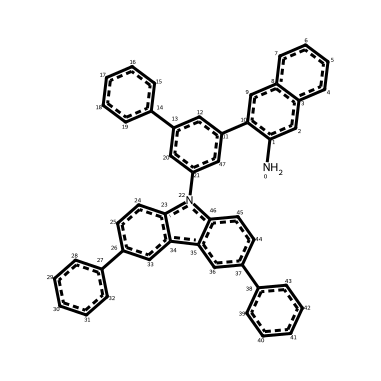 Nc1cc2ccccc2cc1-c1cc(-c2ccccc2)cc(-n2c3ccc(-c4ccccc4)cc3c3cc(-c4ccccc4)ccc32)c1